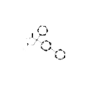 O=C(O)CC(C(=O)O)(c1ccccc1)c1ccc(-c2ccccc2)cc1